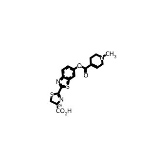 CN1CC=C(C(=O)Oc2ccc3nc(C4=N[C@@H](C(=O)O)CS4)sc3c2)CC1